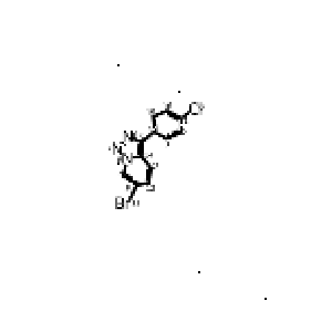 Clc1ccc(-c2nnn3cc(Br)ccc23)cc1